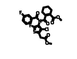 COC(=O)Cc1sc(F)c(N(C(=O)C2=C(C(=O)OC)CCCC2)C(=O)c2cccc(F)c2)c1Cl